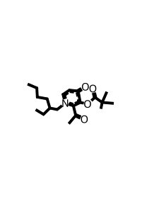 CCCCC(CC)Cn1ccc(=O)c(OC(=O)C(C)(C)C)c1C(C)=O